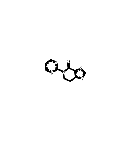 O=C1c2scnc2CCN1c1ncccn1